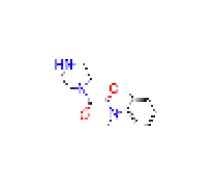 Cc1ccccc1N(C)C(=O)C(=O)N1CCNCC1